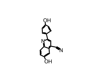 N#Cc1cc(-c2ccc(O)cc2)nc2ccc(O)cc12